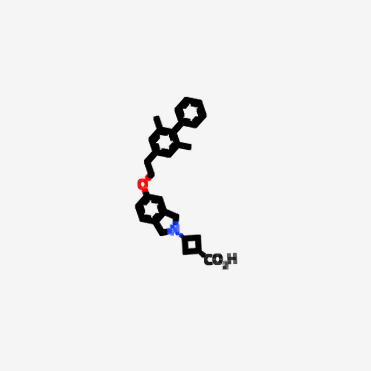 Cc1cc(CCOc2ccc3c(c2)CN([C@H]2C[C@H](C(=O)O)C2)C3)cc(C)c1-c1ccccc1